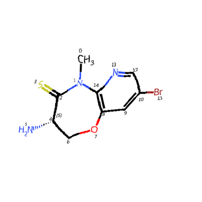 CN1C(=S)[C@@H](N)COc2cc(Br)cnc21